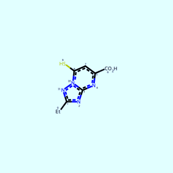 CCc1nc2nc(C(=O)O)cc(S)n2n1